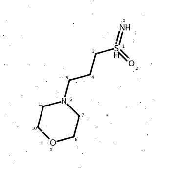 N=[SH](=O)CCCN1CCOCC1